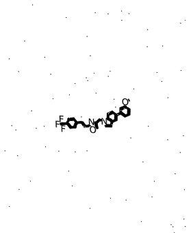 COc1cccc(-c2ccc3c(ccn3Cc3coc(C=Cc4ccc(C(F)(F)F)cc4)n3)c2)c1